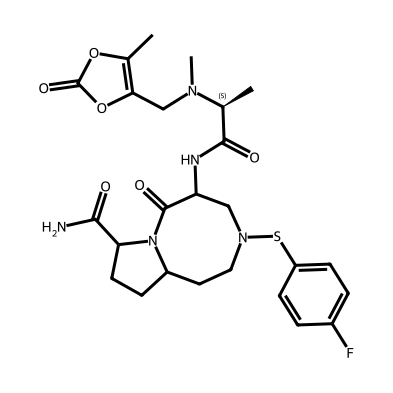 Cc1oc(=O)oc1CN(C)[C@@H](C)C(=O)NC1CN(Sc2ccc(F)cc2)CCC2CCC(C(N)=O)N2C1=O